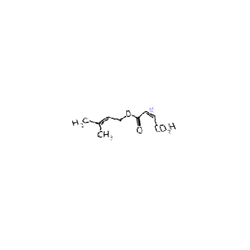 CC(C)=CCOC(=O)/C=C\C(=O)O